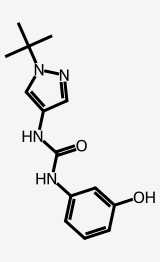 CC(C)(C)n1cc(NC(=O)Nc2cccc(O)c2)cn1